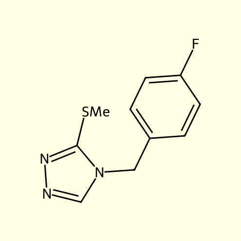 CSc1nncn1Cc1ccc(F)cc1